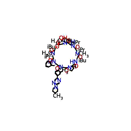 CC[C@H](C)[C@@H]1NC(=O)[C@@H]2CCCN2C(=O)[C@H](Cc2cccc(-c3cnc(N4CCC(C)CC4)cn3)c2)N(C)C(=O)[C@H](Cc2ccccc2)NC(=O)[C@H](C(C)C)N(C)C(=O)[C@@H]([C@@H](C)CC)OC(=O)[C@H](C(C)(C)O)N(C)C(=O)[C@H](CC(C)C)NC(=O)[C@H](C(C)C)N(C)C1=O